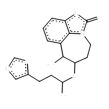 CC(CCc1cncs1)NC1CCn2c(=O)[nH]c3cccc(c32)C1O